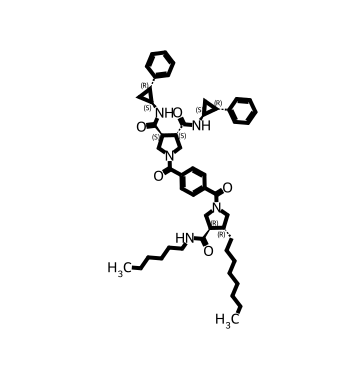 CCCCCCCC[C@H]1CN(C(=O)c2ccc(C(=O)N3C[C@@H](C(=O)N[C@H]4C[C@@H]4c4ccccc4)[C@H](C(=O)N[C@H]4C[C@@H]4c4ccccc4)C3)cc2)C[C@@H]1C(=O)NCCCCCC